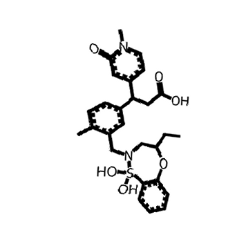 CCC1CN(Cc2cc(C(CC(=O)O)c3ccn(C)c(=O)c3)ccc2C)S(O)(O)c2ccccc2O1